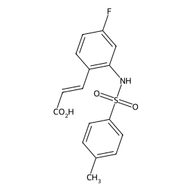 Cc1ccc(S(=O)(=O)Nc2cc(F)ccc2C=CC(=O)O)cc1